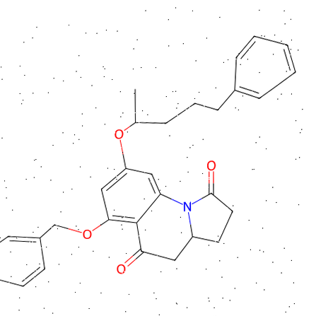 CC(CCCc1ccccc1)Oc1cc(OCc2ccccc2)c2c(c1)N1C(=O)CCC1CC2=O